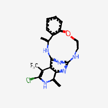 C=C1Nc2nc(nc3c2C(C(F)(F)F)=C(Cl)NC3=C)NCCOc2ccccc21